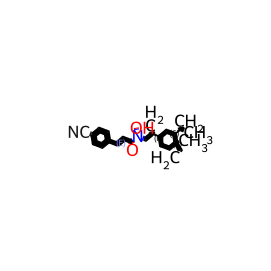 C=C[C@]1(C)CC[C@@H](C(=C)CN(O)C(=O)/C=C/c2ccc(C#N)cc2)C[C@H]1C(=C)C